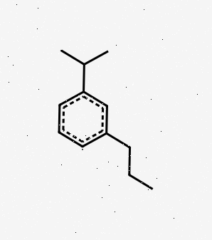 CCCc1[c]ccc(C(C)C)c1